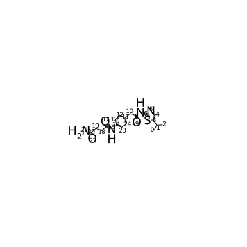 CC(C)c1cnc(NC(=O)Cc2ccc(NC(=O)CCC(N)=O)cc2)s1